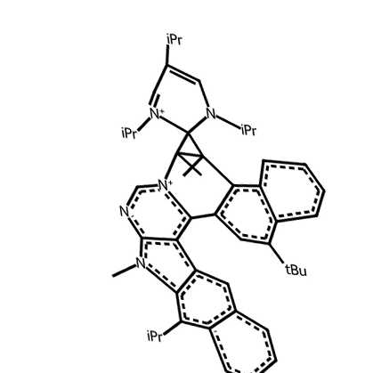 CC(C)C1=CN(C(C)C)C2([N+](C(C)C)=C1)C1(C)c3c(cc(C(C)(C)C)c4ccccc34)-c3c4c5cc6ccccc6c(C(C)C)c5n(C)c4nc[n+]3C12C